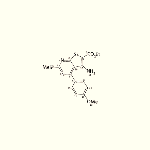 CCOC(=O)c1sc2nc(SC)nc(-c3ccc(OC)cc3)c2c1N